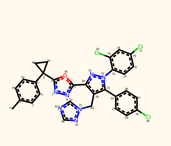 Cc1ccc(C2(c3nnc(-c4nn(-c5ccc(Cl)cc5Cl)c(-c5ccc(Cl)cc5)c4Cn4cncn4)o3)CC2)cc1